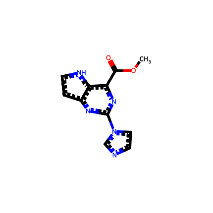 COC(=O)c1nc(-n2ccnc2)nc2cc[nH]c12